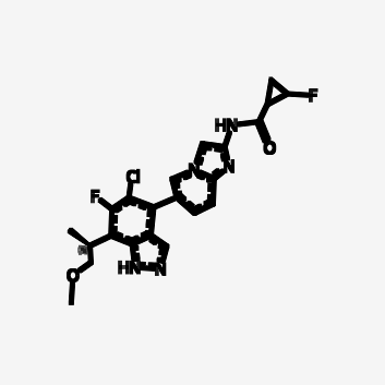 COC[C@@H](C)c1c(F)c(Cl)c(-c2ccc3nc(NC(=O)C4CC4F)cn3c2)c2cn[nH]c12